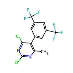 Cc1nc(Cl)nc(Cl)c1-c1cc(C(F)(F)F)cc(C(F)(F)F)c1